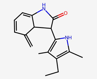 C=C1C=CC=C2NC(=O)C(c3[nH]c(C)c(CC)c3C)C12